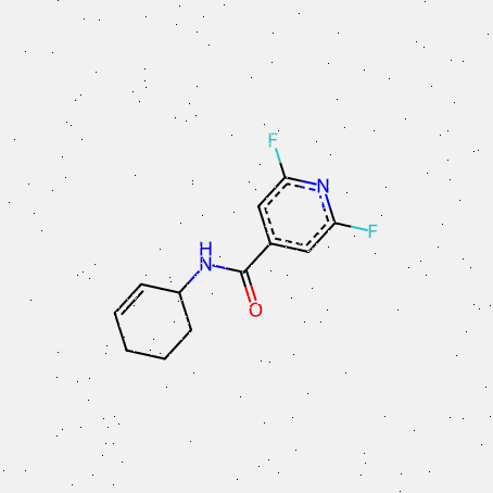 O=C(NC1C=CCCC1)c1cc(F)nc(F)c1